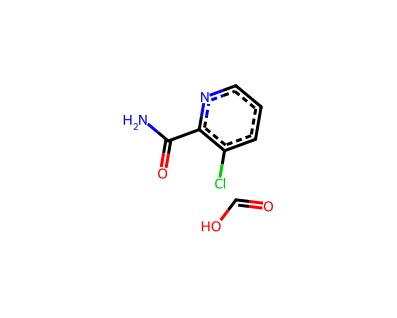 NC(=O)c1ncccc1Cl.O=CO